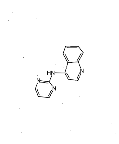 c1cnc(Nc2ccnc3ccccc23)nc1